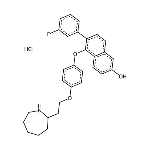 Cl.Oc1ccc2c(Oc3ccc(OCCC4CCCCCN4)cc3)c(-c3cccc(F)c3)ccc2c1